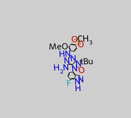 COc1cc(S(C)(=O)=O)ccc1Nc1nc(N)c2c(n1)n(C(C)(C)C)c(=O)n2-c1ccc(F)c2[nH]ncc12